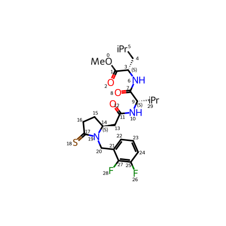 COC(=O)[C@H](CC(C)C)NC(=O)[C@@H](NC(=O)C[C@@H]1CCC(=S)N1Cc1cccc(F)c1F)C(C)C